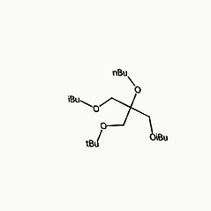 CCCCOC(COCC(C)C)(COC(C)CC)COC(C)(C)C